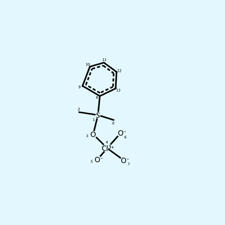 CS(C)(O[Cl+3]([O-])([O-])[O-])c1ccccc1